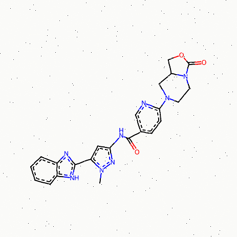 Cn1nc(NC(=O)c2ccc(N3CCN4C(=O)OCC4C3)nc2)cc1-c1nc2ccccc2[nH]1